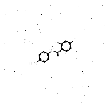 Nc1ccc(NC(=O)c2ccc(F)cc2Br)cc1